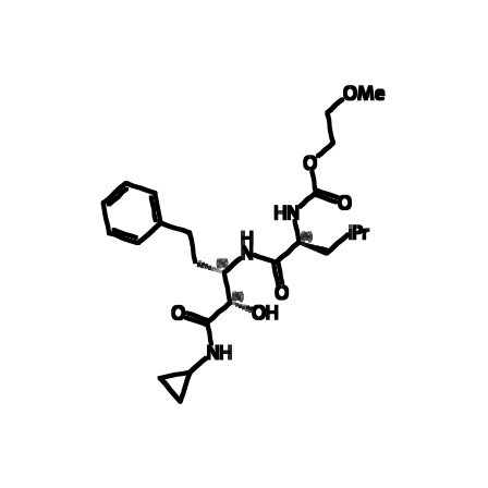 COCCOC(=O)N[C@@H](CC(C)C)C(=O)N[C@@H](CCc1ccccc1)[C@H](O)C(=O)NC1CC1